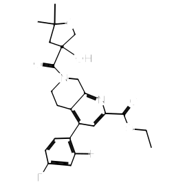 CCOC(=O)c1cc(-c2ccc(F)cc2F)c2c(n1)CN(C(=O)C1(O)COC(C)(C)C1)CC2